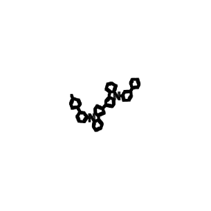 Cc1ccc(-c2cccc(-n3c4ccccc4c4cc(-c5ccc6c(c5)c5ccccc5n6-c5cccc(-c6ccccc6)c5)ccc43)c2)cc1